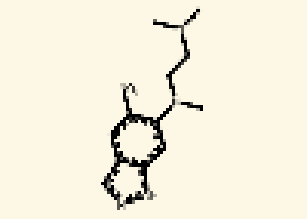 CN(C)CCN(C)c1cc2[nH]ncc2cc1[N+](=O)[O-]